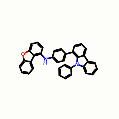 c1ccc(-n2c3ccccc3c3cccc(-c4ccc(Nc5cccc6oc7ccccc7c56)cc4)c32)cc1